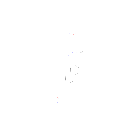 C[C@@H](OCc1ccc2cc(CCCC(N)=O)ccc2c1)[C@@H](N)CCC(N)=O